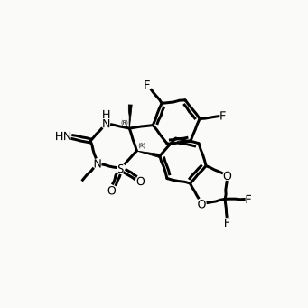 CN1C(=N)N[C@](C)(c2ccc(F)cc2F)[C@@H](c2ccc3c(c2)OC(F)(F)O3)S1(=O)=O